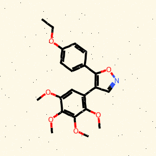 CCOc1ccc(-c2oncc2-c2cc(OC)c(OC)c(OC)c2OC)cc1